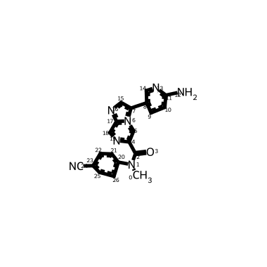 CN(C(=O)c1cn2c(-c3ccc(N)nc3)cnc2cn1)c1ccc(C#N)cc1